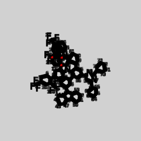 FC(F)(F)c1ccc(-c2ccc3c(c2)c2cc(-c4ccc(C(F)(F)F)cc4C(F)(F)F)ccc2n3-c2c(-c3cccc(C4c5ccccc5-c5ccccc54)c3)cc(-c3cc(-c4ccccc4)nc(-c4ccccc4)n3)cc2-c2cccc(-n3c4ccccc4c4ccccc43)c2)c(C(F)(F)F)c1